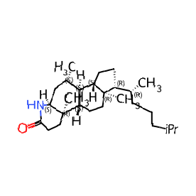 CC(C)CCC[C@@H](C)[C@H]1CC[C@H]2[C@@H]3[C@@H](C)C[C@@H]4NC(=O)CC[C@]4(C)[C@H]3CC[C@]12C